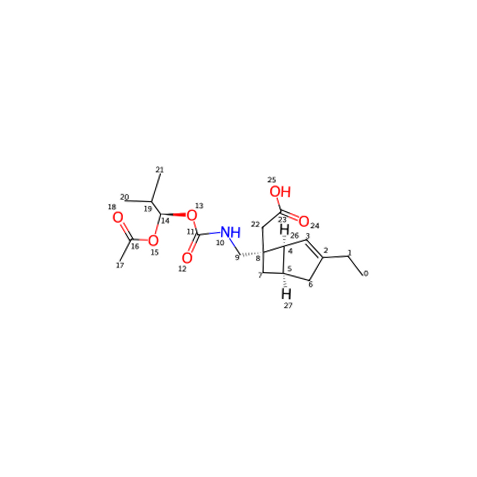 CCC1=C[C@H]2[C@@H](C1)C[C@@]2(CNC(=O)O[C@@H](OC(C)=O)C(C)C)CC(=O)O